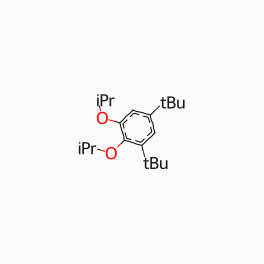 CC(C)Oc1cc(C(C)(C)C)cc(C(C)(C)C)c1OC(C)C